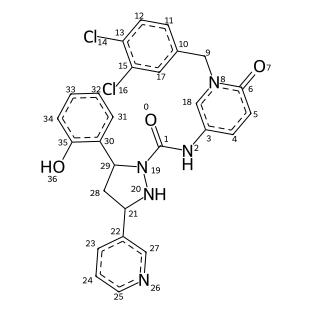 O=C(Nc1ccc(=O)n(Cc2ccc(Cl)c(Cl)c2)c1)N1NC(c2cccnc2)CC1c1ccccc1O